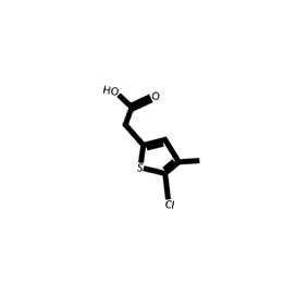 Cc1cc(CC(=O)O)sc1Cl